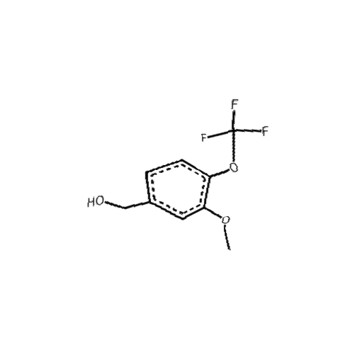 COc1cc(CO)ccc1OC(F)(F)F